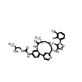 Cc1c(N[C@H]2CCC[C@@H](C)C(=O)Nc3cc(NC(=O)OCC(C)O)ccc3-c3ccnc2c3)nnn1-c1cccc(Cl)c1F